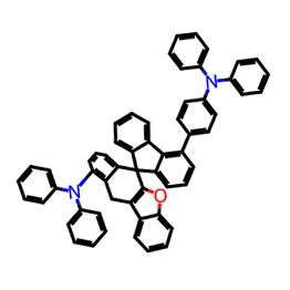 c1ccc(N(c2ccccc2)c2ccc(-c3cccc4c3-c3ccccc3C43c4cccc(N(c5ccccc5)c5ccccc5)c4Cc4c3oc3ccccc43)cc2)cc1